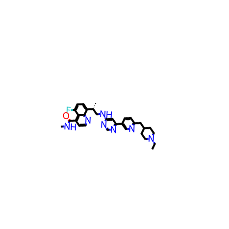 CCN1CCC(Cc2ccc(-c3cc(NC[C@@H](C)c4ccc(F)c5c(C(=O)NC)ccnc45)ncn3)cn2)CC1